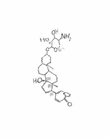 C[C@@H]1OC(OC2C=C3CCC4C(CC[C@]5(C)[C@@H](c6ccc(=O)oc6)CC[C@]45O)C3(C)CC2)[C@H](O)C(O)C1N